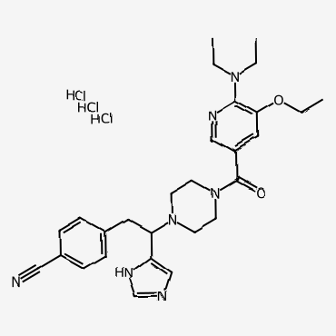 CCOc1cc(C(=O)N2CCN(C(Cc3ccc(C#N)cc3)c3cnc[nH]3)CC2)cnc1N(CC)CC.Cl.Cl.Cl